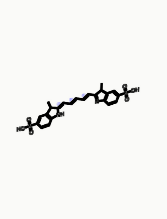 CC1C(/C=C/C=C/C=C2\Nc3ccc(S(=O)(=O)O)cc3C2C)=Nc2ccc(S(=O)(=O)O)cc21